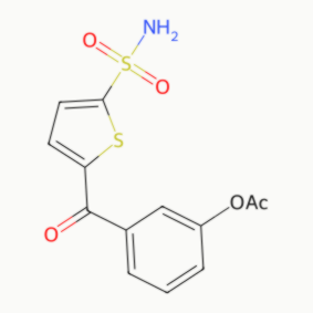 CC(=O)Oc1cccc(C(=O)c2ccc(S(N)(=O)=O)s2)c1